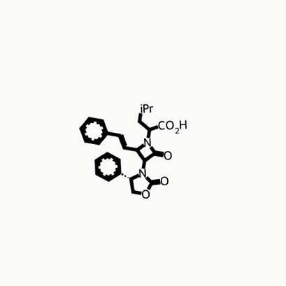 CC(C)CC(C(=O)O)N1C(=O)C(N2C(=O)OC[C@@H]2c2ccccc2)C1C=Cc1ccccc1